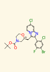 CC(C)(C)OC(=O)N1CCO[C@@H](Cc2c(-c3cc(F)c(Br)cc3Cl)nc3cc(Cl)ccn23)C1